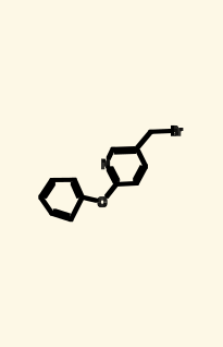 BrCc1ccc(Oc2ccccc2)nc1